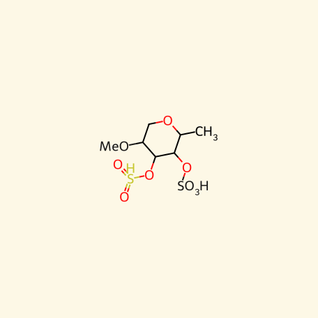 COC1COC(C)C(OS(=O)(=O)O)C1O[SH](=O)=O